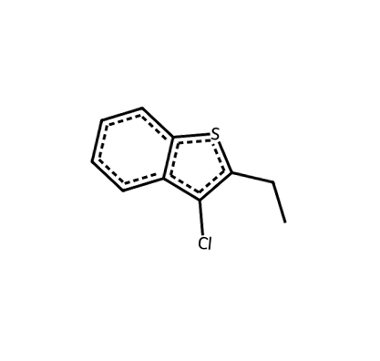 CCc1sc2ccccc2c1Cl